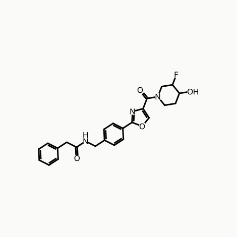 O=C(Cc1ccccc1)NCc1ccc(-c2nc(C(=O)N3CCC(O)C(F)C3)co2)cc1